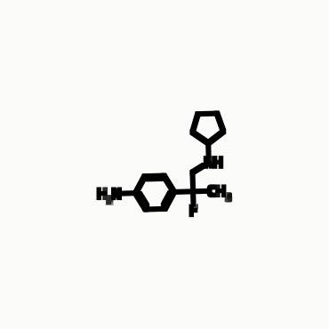 CC(F)(CNC1CCCC1)c1ccc(N)cc1